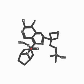 CC(C)(C)OC(=O)N1C2CCC1CN(c1nc(C3(CO[Si](C)(C)C(C)(C)C)COC3)cc3c(F)c(Cl)ncc13)C2